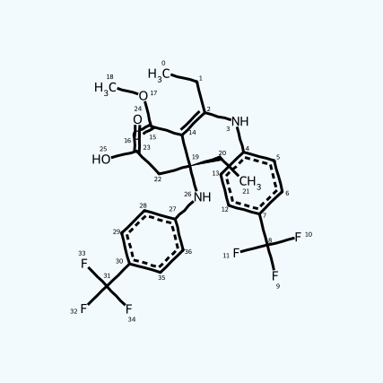 CCC(Nc1ccc(C(F)(F)F)cc1)=C(C(=O)OC)[C@@](CC)(CC(=O)O)Nc1ccc(C(F)(F)F)cc1